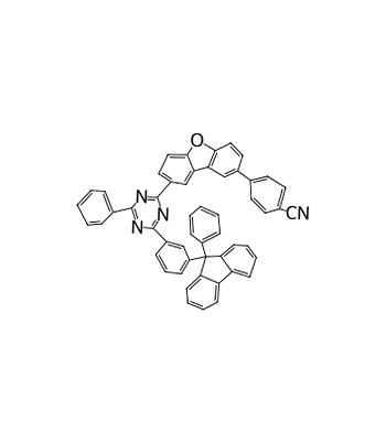 N#Cc1ccc(-c2ccc3oc4ccc(-c5nc(-c6ccccc6)nc(-c6cccc(C7(c8ccccc8)c8ccccc8-c8ccccc87)c6)n5)cc4c3c2)cc1